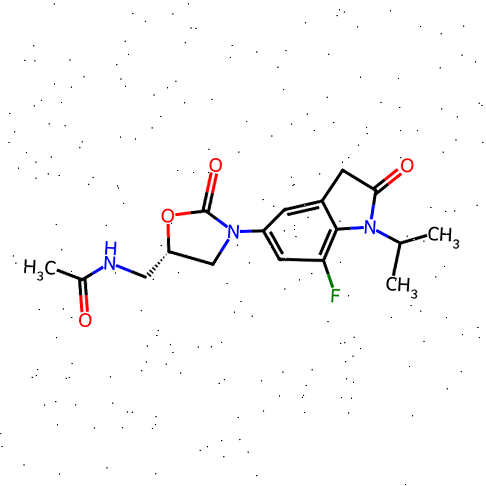 CC(=O)NC[C@H]1CN(c2cc(F)c3c(c2)CC(=O)N3C(C)C)C(=O)O1